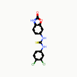 O=c1[nH]c2ccc(NC(=S)Nc3ccc(Cl)c(Cl)c3)cc2o1